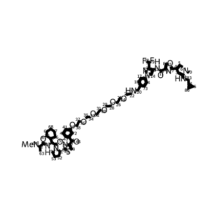 C=N/C(=C\C(=C/C)c1nc(C(=O)Nc2cn(-c3ccc(CNCCOCCOCCOCCOCCOCCOc4cccc(C(=O)c5csc([C@@H]6CCCN6C(=O)[C@@H](NC(=O)[C@H](C)NC)C6CCCCC6)n5)c4)cc3)nc2C(F)F)co1)NCC1CC1